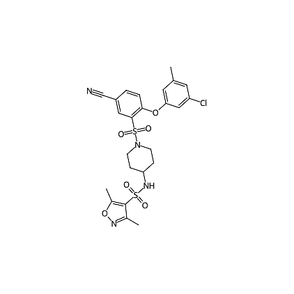 Cc1cc(Cl)cc(Oc2ccc(C#N)cc2S(=O)(=O)N2CCC(NS(=O)(=O)c3c(C)noc3C)CC2)c1